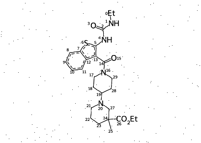 CCNC(=O)Nc1sc2ccccc2c1C(=O)N1CCC(N2CCCC(C)(C(=O)OCC)C2)CC1